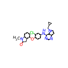 CN1C(=O)Cc2c(Oc3ccc(Nc4ncnc5ccn(CC6CC6)c45)cc3Cl)cccc21